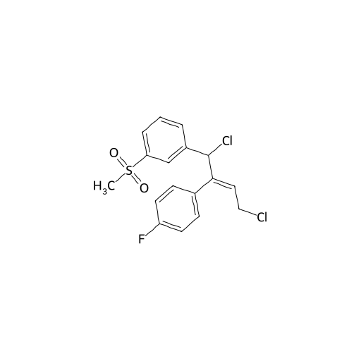 CS(=O)(=O)c1cccc(C(Cl)C(=CCCl)c2ccc(F)cc2)c1